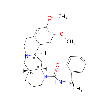 COc1cc2c(cc1OC)[C@H]1C[C@H]3[C@H](CCCN3C(=O)N[C@H](C)c3ccccc3)CN1CC2